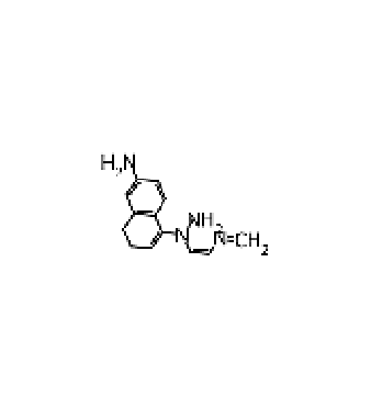 C=N/C=C\N(N)C1=CCCc2cc(N)ccc21